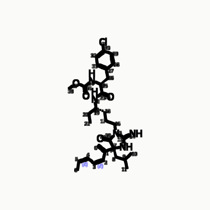 C=C(/C=C\C=C/C)[C@@]1(CC(C)C)NC(=N)N(CCC[C@H](CC)NC(=O)[C@H](Cc2ccc(Cl)cc2)NC(=O)OC)C1=O